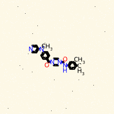 Cc1ccc(NC(=O)N2CCN(C(=O)c3ccc(N(C)c4ccncc4)cc3)CC2)cc1C